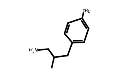 CC(CN)Cc1ccc(C(C)(C)C)cc1